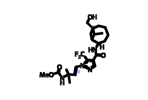 COC(=O)NC(C)(C)/C=C/n1ncc(C(=O)N[C@@H]2CCCC[C@@]3(CO)CC2C3C)c1C(F)(F)F